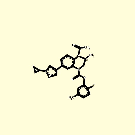 CC(=O)N1c2ccc(-c3cnn(C4CC4)c3)cc2N(C(=O)Oc2cc(C)ccc2F)C[C@@H]1C